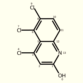 Oc1cc(Cl)c2c(Cl)c(Cl)ccc2n1